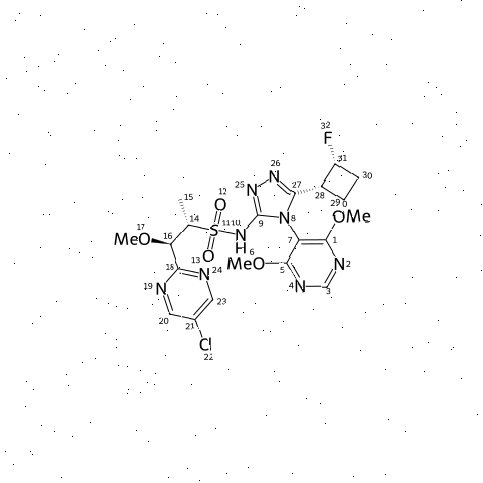 COc1ncnc(OC)c1-n1c(NS(=O)(=O)[C@@H](C)[C@H](OC)c2ncc(Cl)cn2)nnc1[C@H]1CC[C@H]1F